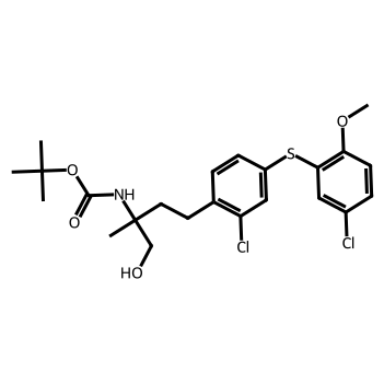 COc1ccc(Cl)cc1Sc1ccc(CCC(C)(CO)NC(=O)OC(C)(C)C)c(Cl)c1